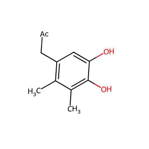 CC(=O)Cc1cc(O)c(O)c(C)c1C